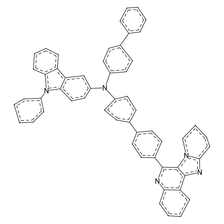 c1ccc(-c2ccc(N(c3ccc(-c4ccc(-c5nc6ccccc6c6nc7ccccn7c56)cc4)cc3)c3ccc4c(c3)c3ccccc3n4-c3ccccc3)cc2)cc1